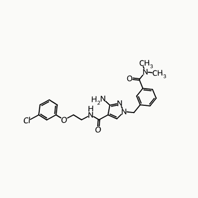 CN(C)C(=O)c1cccc(Cn2cc(C(=O)NCCOc3cccc(Cl)c3)c(N)n2)c1